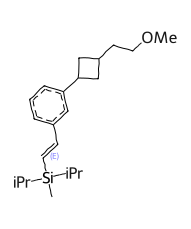 COCCC1CC(c2cccc(/C=C/[Si](C)(C(C)C)C(C)C)c2)C1